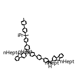 CCCCCCCC1(CCCCCCC)c2ccccc2-c2ccc(Nc3ccc(-c4ccc(-c5ccc(N(c6ccc(-c7ccc(C(C)(c8ccc(-c9ccc(C)cc9)cc8)C(C)C)cc7)cc6)c6ccc7c(c6)C(CCCCCCC)(CCCCCCC)c6ccccc6-7)cc5)cc4)cc3)cc21